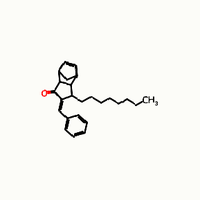 CCCCCCCCC1/C(=C\c2ccccc2)C(=O)C2C3C=CC(C3)C12